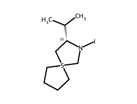 CC(C)[C@H]1CS2(CCCC2)CN1I